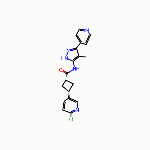 Cc1c(-c2ccncc2)n[nH]c1NC(=O)[C@H]1C[C@H](c2ccc(Cl)nc2)C1